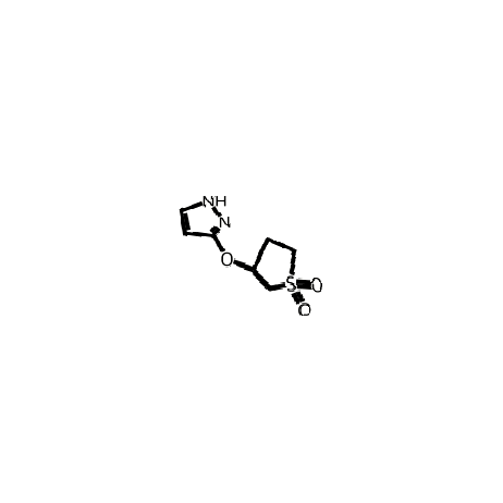 O=S1(=O)CCC(Oc2cc[nH]n2)C1